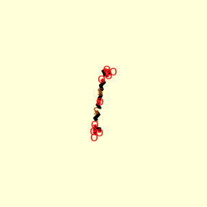 O=C1OCC(OCCCSCCOCCSCCCOC2COC(=O)O2)O1